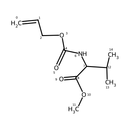 C=CCOC(=O)NC(C(=O)OC)C(C)C